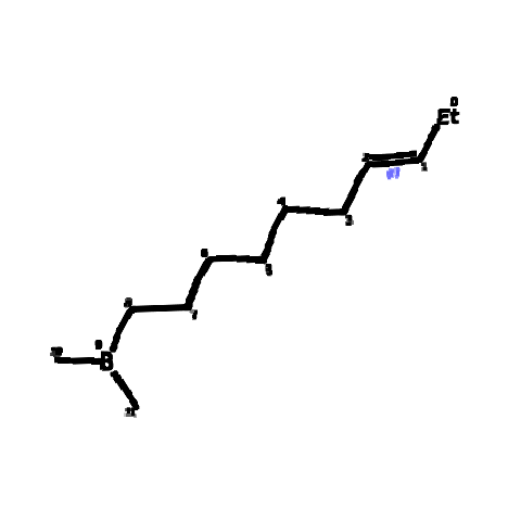 CC/C=C/CCCCCCB(C)C